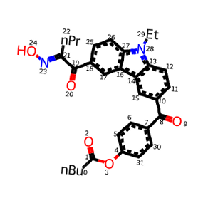 CCCCC(=O)Oc1ccc(C(=O)c2ccc3c(c2)c2cc(C(=O)/C(CCC)=N/O)ccc2n3CC)cc1